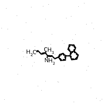 C=C/C=C(C)/C(N)=C/Cc1ccc(-c2cccc3ccccc23)cc1